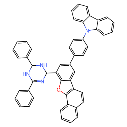 c1ccc(C2=NC(c3cc(-c4ccc(-n5c6ccccc6c6ccccc65)cc4)cc4c3oc3c5ccccc5ccc43)NC(c3ccccc3)N2)cc1